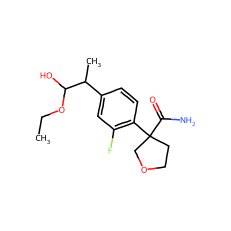 CCOC(O)C(C)c1ccc(C2(C(N)=O)CCOC2)c(F)c1